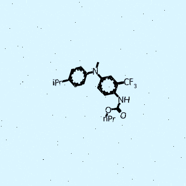 CCCOC(=O)Nc1ccc(N(C)c2ccc(C(C)C)cc2)cc1C(F)(F)F